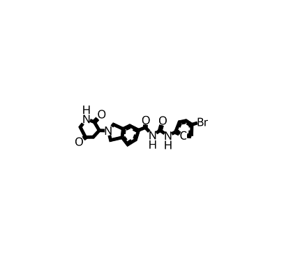 O=C1CNC(=O)C(N2Cc3ccc(C(=O)NC(=O)Nc4ccc(Br)cc4)cc3C2)C1